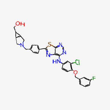 OCC1C2CN(Cc3ccc(-c4nc5c(Nc6ccc(OCc7cccc(F)c7)c(Cl)c6)ncnc5s4)cc3)CC12